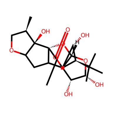 C[C@@H]1COC2CC34C5OC(=O)[C@]3(O[C@@H]3O[C@H](O)[C@H](O)C34[C@H](C(C)(C)C)[C@H]5O)[C@]21O